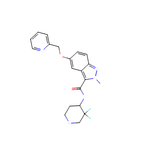 Cn1nc2ccc(OCc3ccccn3)cc2c1C(=O)NC1CCNCC1(F)F